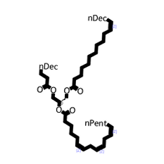 CCCCC/C=C\C/C=C\C/C=C\CCCCC(=O)O[C@@H](COC(=O)CCCCCCCCC/C=C\CCCCCCCCCC)COC(=O)CCCCCCCCCCCC